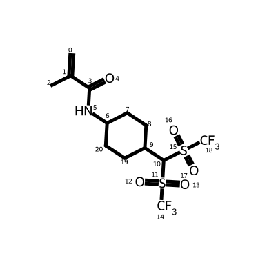 C=C(C)C(=O)NC1CCC(C(S(=O)(=O)C(F)(F)F)S(=O)(=O)C(F)(F)F)CC1